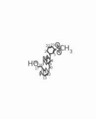 CS(=O)(=O)C1=CC(n2cc(Cn3ccnc3CCO)nn2)CC=C1